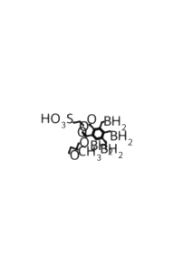 BCc1c(B)c(C(=O)OCC2(C)CCO2)c(C(=O)OCCS(=O)(=O)O)c(CB)c1CB